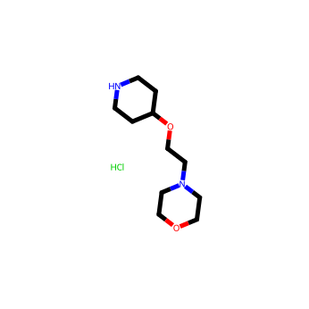 C1CC(OCCN2CCOCC2)CCN1.Cl